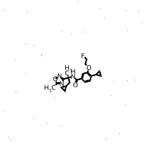 Cc1nc([C@@](C)(CC2CC2)NC(=O)c2ccc(C3CC3)c(OCCF)c2)no1